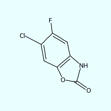 O=c1[nH]c2cc(F)c(Cl)cc2o1